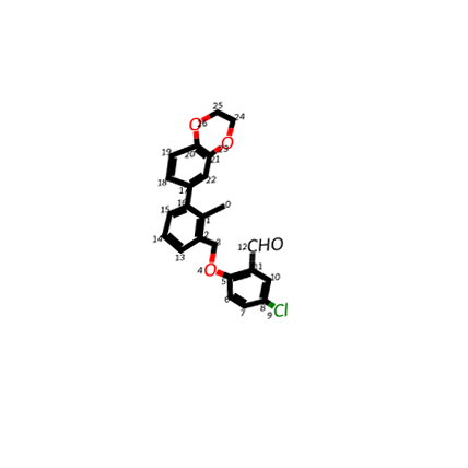 Cc1c(COc2ccc(Cl)cc2C=O)cccc1-c1ccc2c(c1)OCCO2